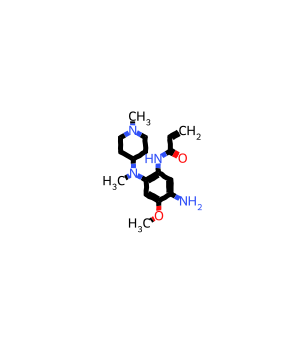 C=CC(=O)Nc1cc(N)c(OC)cc1N(C)C1CCN(C)CC1